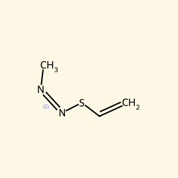 C=CS/N=N\C